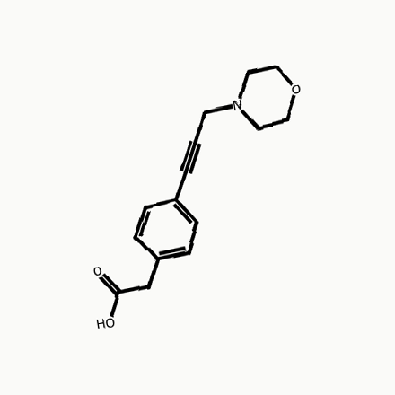 O=C(O)Cc1ccc(C#CCN2CCOCC2)cc1